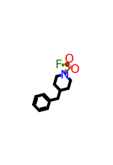 O=S(=O)(F)N1CCC(Cc2ccccc2)CC1